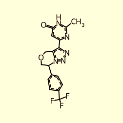 Cc1nc(-c2nnn3c2COCC3c2ccc(C(F)(F)F)cc2)cc(=O)[nH]1